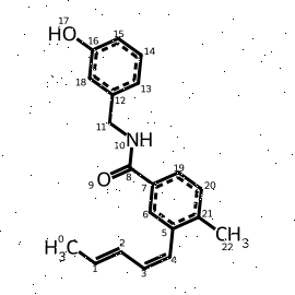 CC=C/C=C\c1cc(C(=O)NCc2cccc(O)c2)ccc1C